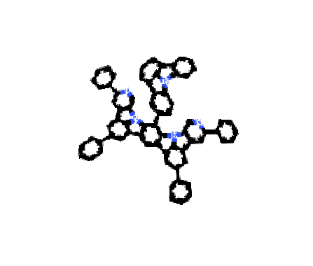 c1ccc(-c2cc3c4cc(-c5ccccc5)ncc4n4c5c(-c6ccc7c(c6)c6cccc8c9ccccc9n7c86)c6c(cc5c(c2)c34)c2cc(-c3ccccc3)cc3c4cc(-c5ccccc5)ncc4n6c32)cc1